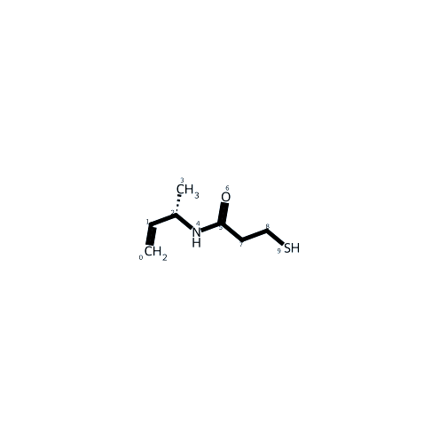 C=C[C@H](C)NC(=O)CCS